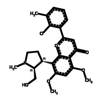 COc1cc(OC)c2c(=O)cc(-c3cccc(C)c3Cl)oc2c1[C@H]1CCN(C)[C@@H]1CO